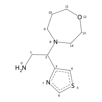 NCC(c1cscn1)N1CCCOCC1